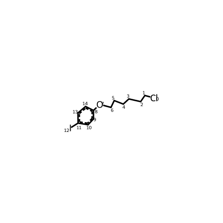 ClCCCCCCOc1ccc(I)cc1